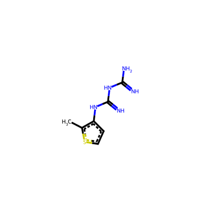 Cc1sccc1NC(=N)NC(=N)N